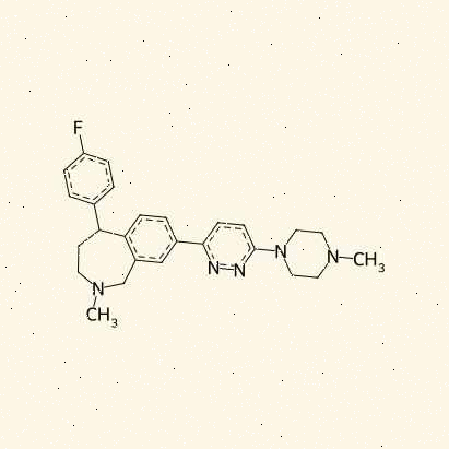 CN1CCN(c2ccc(-c3ccc4c(c3)CN(C)CCC4c3ccc(F)cc3)nn2)CC1